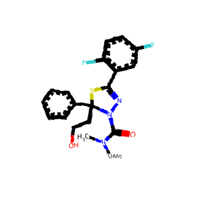 CON(C)C(=O)N1N=C(c2cc(F)ccc2F)SC1(CCO)c1ccccc1